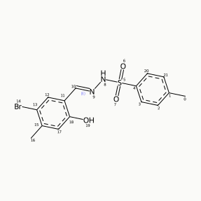 Cc1ccc(S(=O)(=O)N/N=C/c2cc(Br)c(C)cc2O)cc1